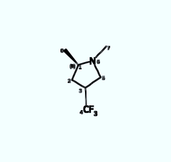 C[C@@H]1CC(C(F)(F)F)CN1C